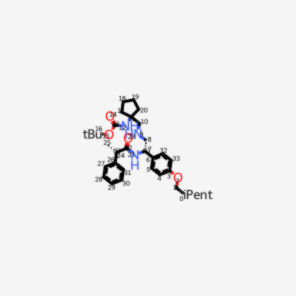 CCCC(C)COc1ccc([C@@H](CNCC2(NC(=O)OC(C)(C)C)CCCC2)NC(=O)[C@@H](C)c2ccccc2)cc1